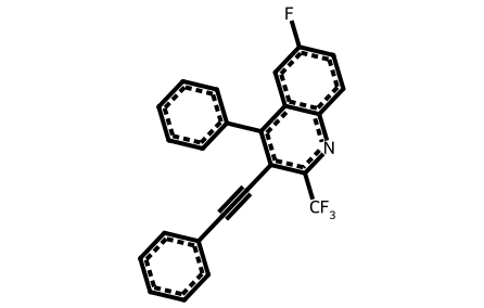 Fc1ccc2nc(C(F)(F)F)c(C#Cc3ccccc3)c(-c3ccccc3)c2c1